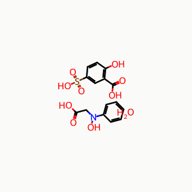 O.O=C(O)CN(O)c1ccccc1.O=C(O)c1cc(S(=O)(=O)O)ccc1O